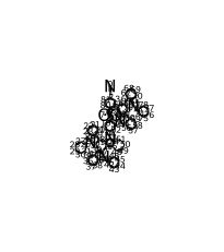 N#Cc1ccc(S(=O)(=O)c2ccc(-n3c4c(c5c3c3c6ccccc6n(C6C=CC=CC6)c3c3c6ccccc6n(-c6ccccc6)c53)C=CCC4)cc2-n2c3ccccc3c3c2ccc2c4ccccc4n(-c4ccccc4)c23)cc1